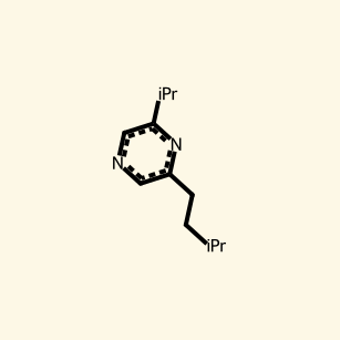 CC(C)CCc1cncc(C(C)C)n1